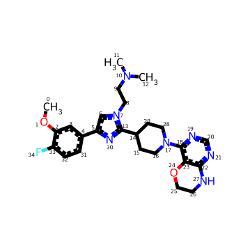 COc1cc(-c2cn(CCN(C)C)c(C3CCN(c4ncnc5c4OCCN5)CC3)n2)ccc1F